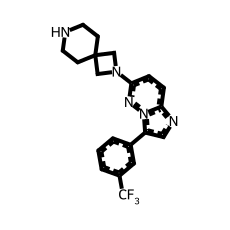 FC(F)(F)c1cccc(-c2cnc3ccc(N4CC5(CCNCC5)C4)nn23)c1